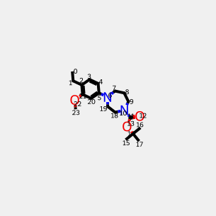 CCc1ccc(N2CCCN(C(=O)OC(C)(C)C)CC2)cc1OC